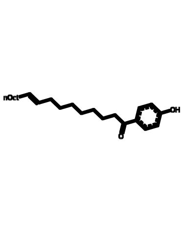 CCCCCCCCC=CCCCCCCCC(=O)c1ccc(O)cc1